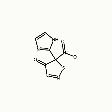 O=C1N=NSC1(c1ncc[nH]1)[N+](=O)[O-]